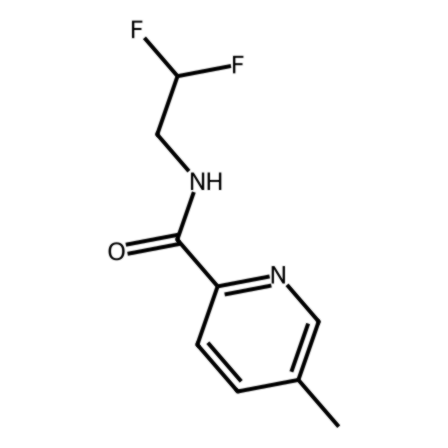 Cc1ccc(C(=O)NCC(F)F)nc1